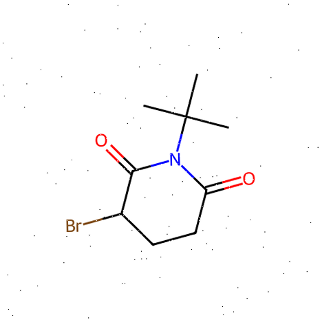 CC(C)(C)N1C(=O)CCC(Br)C1=O